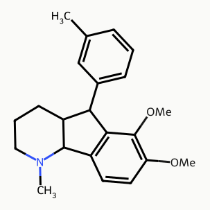 COc1ccc2c(c1OC)C(c1cccc(C)c1)C1CCCN(C)C21